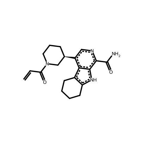 C=CC(=O)N1CCC[C@@H](c2cnc(C(N)=O)c3[nH]c4c(c23)CCCC4)C1